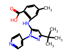 Cc1ccc(C(=O)O)c(Nc2cc(C(C)(C)C)nn2-c2ccncc2)c1